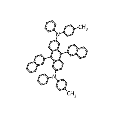 Cc1ccc(N(c2ccccc2)c2ccc3c(-c4ccc5ccccc5c4)c4cc(N(c5ccccc5)c5ccc(C)cc5)ccc4c(-c4ccc5ccccc5c4)c3c2)cc1